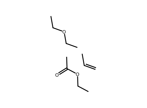 C=CC.CCOC(C)=O.CCOCC